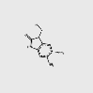 CC(C)CC1C(=O)Nc2cc(N)c(N)cc21